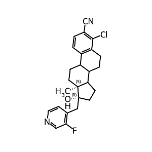 C[C@]12CCC3c4ccc(C#N)c(Cl)c4CCC3C1CC[C@@]2(O)Cc1ccncc1F